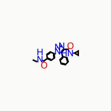 CCNC(=O)c1ccc(-n2nnc(C(=O)NC3CC3)c2-c2ccccc2)cc1